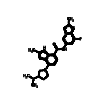 Cc1cn2cc(NC(=O)c3ccc(N4CCC(N(C)C)C4)c4cc(C)[nH]c34)cc(F)c2n1